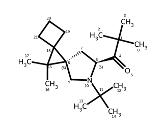 CC(C)(C)C(=O)[C@@H]1C[C@]2(CN1C(C)(C)C)C(C)(C)C21CCC1